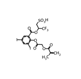 C=C(C)C(=O)OCC(=O)Oc1c(I)cc(I)cc1C(=O)OC(CS(=O)(=O)O)C(F)(F)F